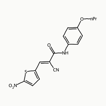 CCCOc1ccc(NC(=O)/C(C#N)=C/c2ccc([N+](=O)[O-])s2)cc1